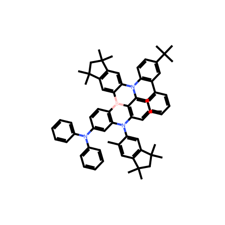 Cc1cc2c3c(c1)N(c1ccc(C(C)(C)C)cc1-c1ccccc1)c1cc4c(cc1B3c1ccc(N(c3ccccc3)c3ccccc3)cc1N2c1cc2c(cc1C)C(C)(C)CC2(C)C)C(C)(C)CC4(C)C